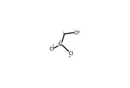 ClC[Si](Cl)Cl